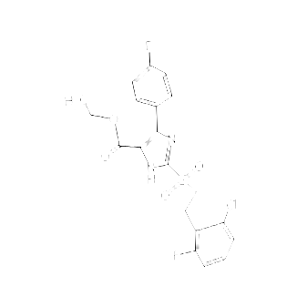 CCOC(=O)c1[nH]c(S(=O)(=O)CCc2c(F)cccc2Cl)nc1-c1ccc(F)cc1